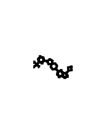 FC(F)(F)c1cncc(N2CCC3(CCN(c4cnc5cnn(C6COC6)c5n4)CC3)C2)n1